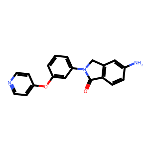 Nc1ccc2c(c1)CN(c1cccc(Oc3ccncc3)c1)C2=O